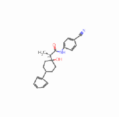 C[C@@H](C(=O)Nc1ccc(C#N)cc1)C1(O)CCC(c2ccccc2)CC1